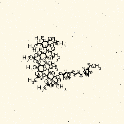 CCC1=C[C@H](N(C(C)=O)[C@H]2[C@H](C)[C@@H](OC(C)=O)[C@@H](O[C@H]3[C@H](C)[C@@H](OC(C)=O)[C@@H](O[C@H]4[C@H](OC(C)=O)[C@@H](OC(C)=O)[C@H](OCc5cn(CCCCn6cc(CC)nn6)nn5)O[C@@H]4CC)O[C@@H]3CC)O[C@@H]2C)[C@H](OC(C)=O)[C@@H](C)[C@@H]1C